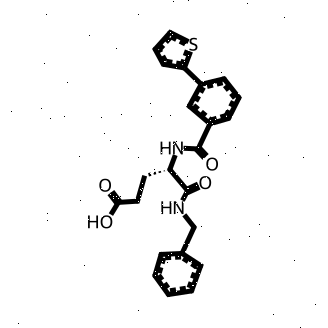 O=C(O)CC[C@H](NC(=O)c1cccc(-c2cccs2)c1)C(=O)NCc1ccccc1